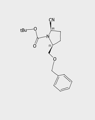 CC(C)(C)OC(=O)N1[C@H](COCc2ccccc2)CC[C@@H]1C#N